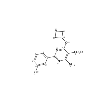 CCOC(=O)c1c(N)nc(-c2cccc(C#N)c2)nc1OC1COC1